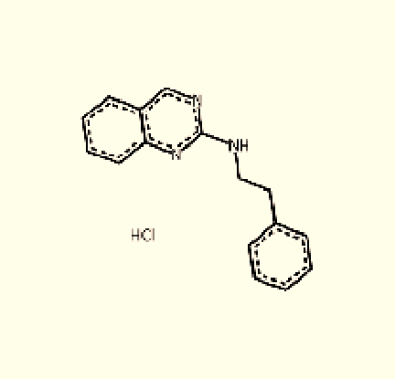 Cl.c1ccc(CCNc2ncc3ccccc3n2)cc1